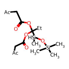 CCC(OC(=O)CC(C)=O)(OC(=O)CC(C)=O)[SiH](C)O[Si](C)(C)C